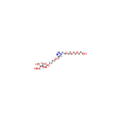 CC(O[C@H](C)OCCCCOCc1cn(CCOCCOCCOCCO)nn1)C(O)[C@H](O)CO